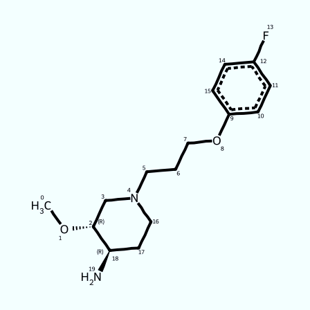 CO[C@@H]1CN(CCCOc2ccc(F)cc2)CC[C@H]1N